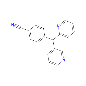 N#Cc1ccc(C(c2cccnc2)c2ccccn2)cc1